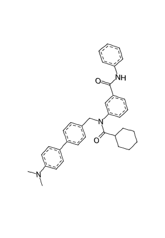 CN(C)c1ccc(-c2ccc(CN(C(=O)C3CCCCC3)c3cccc(C(=O)Nc4ccccc4)c3)cc2)cc1